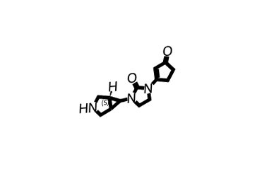 O=C1C=C(N2CCN(C3C4CNC[C@H]43)C2=O)CC1